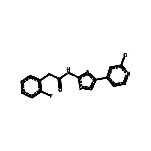 O=C(Cc1ccccc1F)Nc1nc(-c2ccnc(Cl)c2)cs1